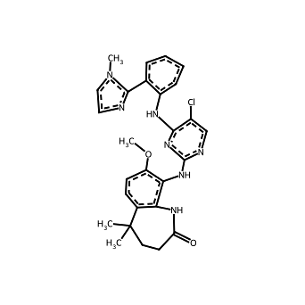 COc1ccc2c(c1Nc1ncc(Cl)c(Nc3ccccc3-c3nccn3C)n1)NC(=O)CCC2(C)C